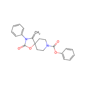 C=C1N(c2ccccc2)C(=O)OC12CCN(C(=O)Oc1ccccc1)CC2